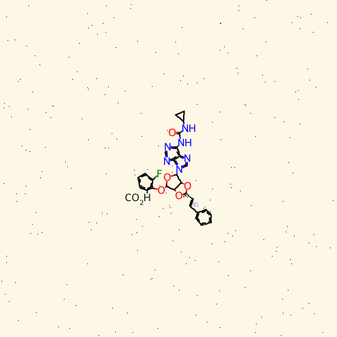 O=C(Nc1ncnc2c1ncn2C1OC(Oc2c(F)cccc2C(=O)O)C2O[C@H](/C=C/c3ccccc3)OC21)NC1CC1